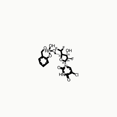 O=c1[nH]c(=O)n([C@@H]2O[C@@](CO[PH]3(O)OCc4ccccc4O3)(C(F)F)[C@H](O)[C@H]2F)cc1Cl